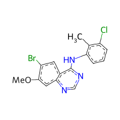 COc1cc2ncnc(Nc3cccc(Cl)c3C)c2cc1Br